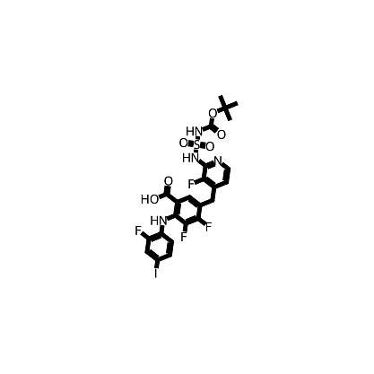 CC(C)(C)OC(=O)NS(=O)(=O)Nc1nccc(Cc2cc(C(=O)O)c(Nc3ccc(I)cc3F)c(F)c2F)c1F